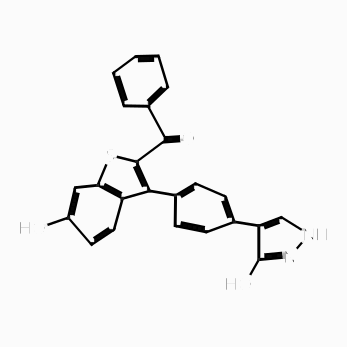 O=C(c1ccccc1)c1sc2cc(O)ccc2c1-c1ccc(-c2c[nH]nc2O)cc1